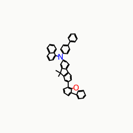 CC1(C)c2cc(-c3cccc4c3oc3ccccc34)ccc2-c2ccc(N(c3ccc(-c4ccccc4)cc3)c3cccc4ccccc34)cc21